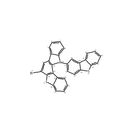 Brc1cc2c3ccccc3n(-c3ccc4sc5ccccc5c4c3)c2c2c1sc1ccccc12